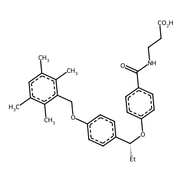 CC[C@@H](Oc1ccc(C(=O)NCCC(=O)O)cc1)c1ccc(OCc2c(C)c(C)cc(C)c2C)cc1